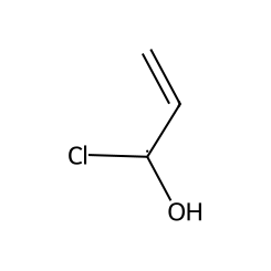 C=C[C](O)Cl